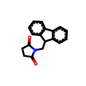 O=C1CCC(=O)N1CC1c2ccccc2-c2ccccc21